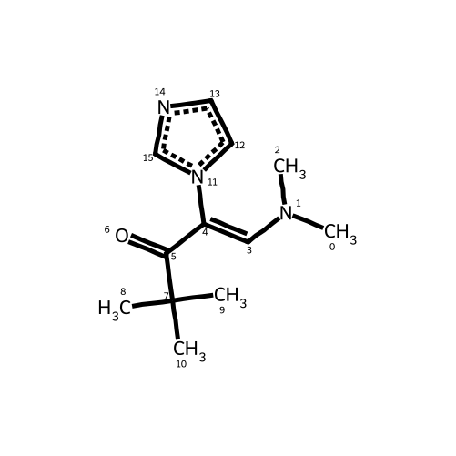 CN(C)/C=C(/C(=O)C(C)(C)C)n1ccnc1